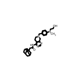 CN(CCO)c1ccc(CN2CCc3c(ncnc3NC(=O)CC34CC5CC(CC(C5)C3)C4)C2)cc1